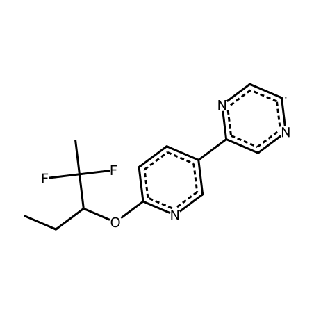 CCC(Oc1ccc(-c2cn[c]cn2)cn1)C(C)(F)F